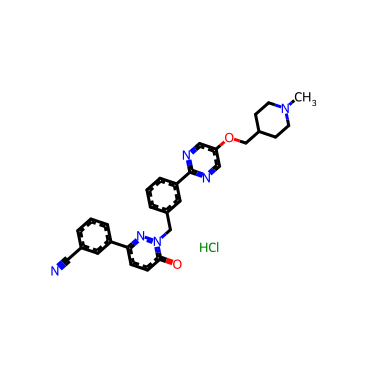 CN1CCC(COc2cnc(-c3cccc(Cn4nc(-c5cccc(C#N)c5)ccc4=O)c3)nc2)CC1.Cl